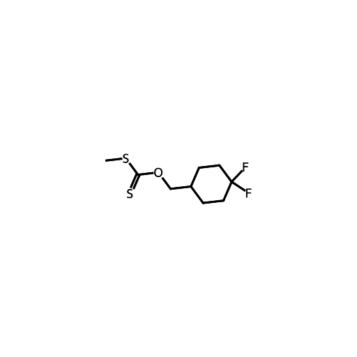 CSC(=S)OCC1CCC(F)(F)CC1